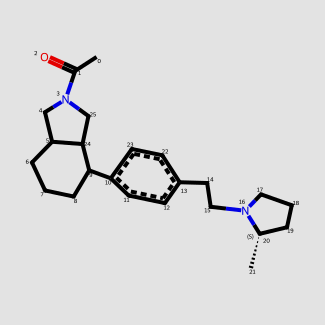 CC(=O)N1CC2CCCC(c3ccc(CCN4CCC[C@@H]4C)cc3)C2C1